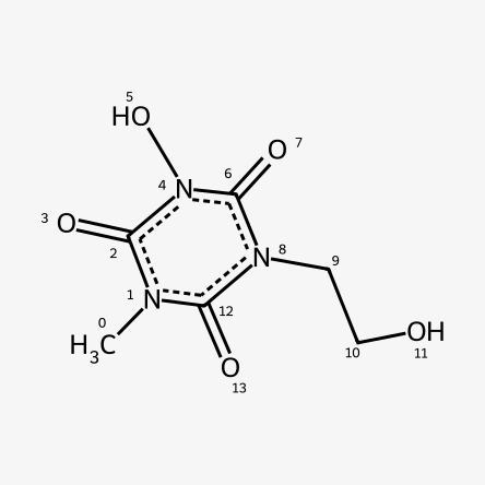 Cn1c(=O)n(O)c(=O)n(CCO)c1=O